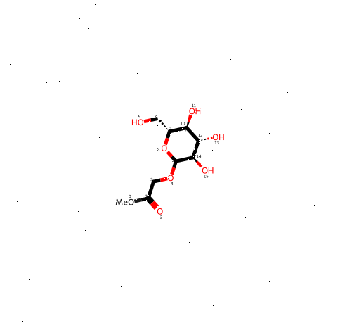 COC(=O)COC1O[C@H](CO)[C@@H](O)[C@H](O)[C@H]1O